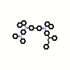 c1ccc(CCC(c2ccccc2)c2ccc(N(c3ccc(-c4ccc(N(c5ccc(N(c6ccccc6)c6ccccc6)cc5)c5cccc6ccccc56)cc4)cc3)c3cccc4ccccc34)cc2)cc1